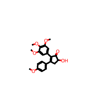 COc1ccc(C2=C(c3cc(OC)c(OC)c(OC)c3)C(=O)C(O)C2)cc1